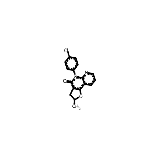 CC1Cc2c(c3cccnc3n(-c3ccc(Cl)cc3)c2=O)O1